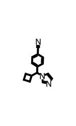 N#Cc1ccc(C(C2CCC2)n2ccnc2)cc1